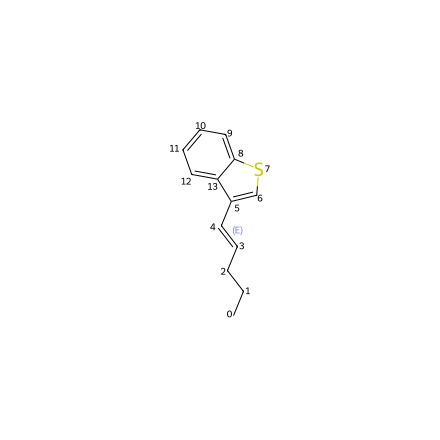 CCC/C=C/c1csc2ccccc12